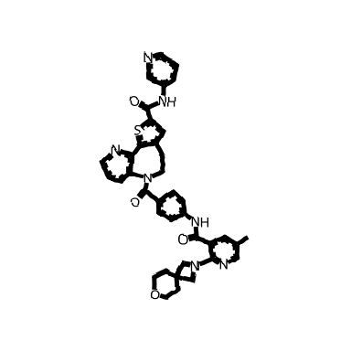 Cc1cnc(N2CC3(CCOCC3)C2)c(C(=O)Nc2ccc(C(=O)N3CCc4cc(C(=O)Nc5cccnc5)sc4-c4ncccc43)cc2)c1